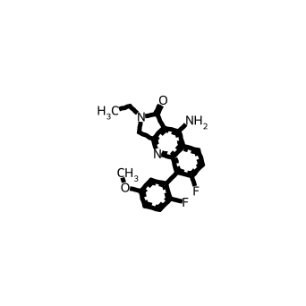 CCN1Cc2nc3c(-c4cc(OC)ccc4F)c(F)ccc3c(N)c2C1=O